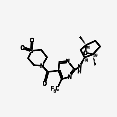 C[C@]12CC[C@](C)(O1)[C@@H](Nc1ncc(C(=O)N3CCS(=O)(=O)CC3)c(C(F)(F)F)n1)C2